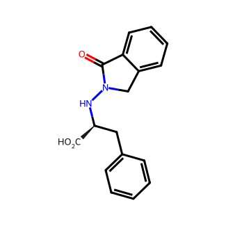 O=C(O)[C@H](Cc1ccccc1)NN1Cc2ccccc2C1=O